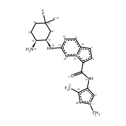 Cn1cc(NC(=O)c2ccc3cnc(N[C@@H]4CC(F)(F)CC[C@@H]4N)nn23)c(C(F)(F)F)n1